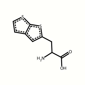 NC(Cc1cc2ccsc2s1)C(=O)O